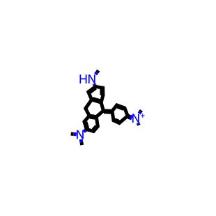 CNc1ccc2c(c1)Cc1cc(N(C)C)ccc1C2=C1C=CC(=[N+](C)C)C=C1